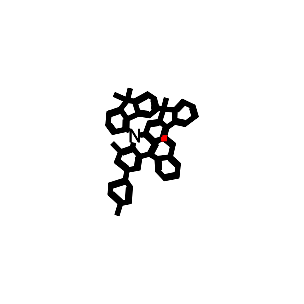 Cc1ccc(-c2cc(C)c(N(c3ccc4c(c3)C(C)(C)c3ccccc3-4)c3cccc4c3-c3ccccc3C4(C)C)c(-c3cccc4ccccc34)c2)cc1